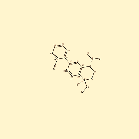 CC[C@]1(C)CC[C@@H](C(C)C)c2cc(-c3ccccc3F)nnc21